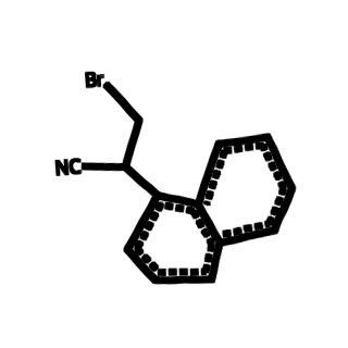 N#CC(CBr)c1cccc2ccccc12